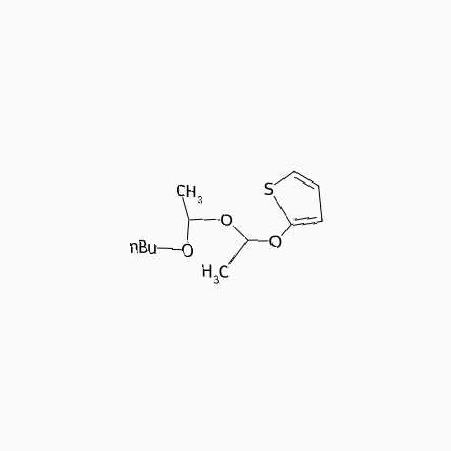 CCCCOC(C)OC(C)Oc1cccs1